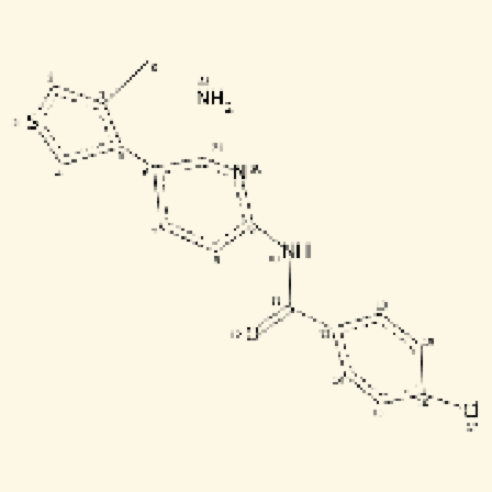 Cc1cscc1-c1ccc(NC(=O)c2ccc(Cl)cc2)nc1N